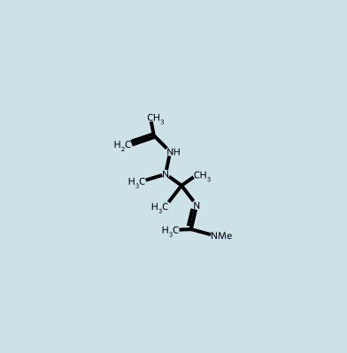 C=C(C)NN(C)C(C)(C)/N=C(\C)NC